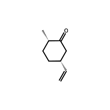 C=C[C@@H]1CC[C@H](C)C(=O)C1